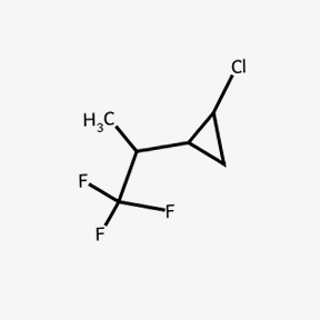 CC(C1CC1Cl)C(F)(F)F